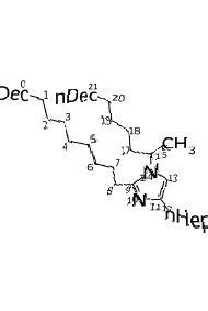 CCCCCCCCCCCCCCCCCCc1nc(CCCCCCC)cn1C(C)CCCCCCCCCCCCCC